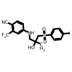 CC(O)(CNc1ccc(C#N)c(C(F)(F)F)c1)CS(=O)(=O)c1ccc(I)cc1